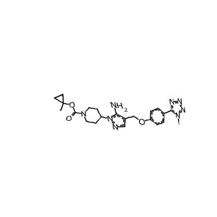 Cn1nnnc1-c1ccc(OCc2cnn(C3CCN(C(=O)OC4(C)CC4)CC3)c2N)cc1